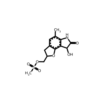 Cc1cc2c(c3c1NC(=O)C3O)OC(COS(C)(=O)=O)C2